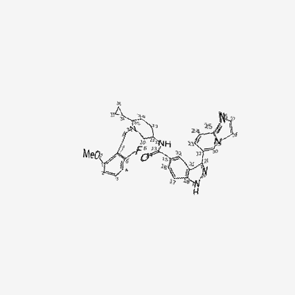 COc1cccc(F)c1CN1CC(NC(=O)c2ccc3[nH]nc(-c4ccc5nccn5c4)c3c2)CCC1C1CC1